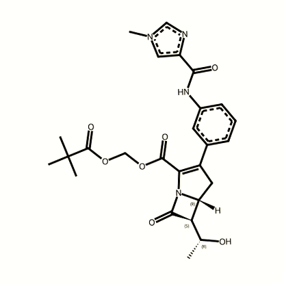 C[C@@H](O)[C@H]1C(=O)N2C(C(=O)OCOC(=O)C(C)(C)C)=C(c3cccc(NC(=O)c4cn(C)cn4)c3)C[C@H]12